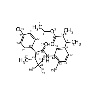 CCOC(=O)C(C)C(C)c1ccc(F)c(NC(=O)[C@H](C2C=CC(Cl)=CC2)[C@@H](C)C(F)(F)F)c1